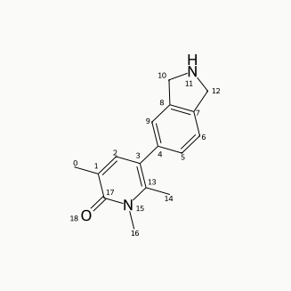 Cc1cc(-c2ccc3c(c2)CNC3)c(C)n(C)c1=O